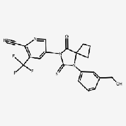 N#Cc1ncc(N2C(=O)C3(CCC3)N(c3cccc(CO)c3)C2=S)cc1C(F)(F)F